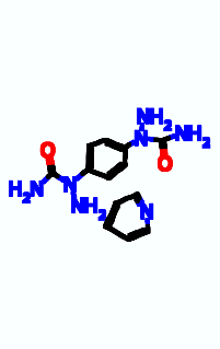 NC(=O)N(N)c1ccc(N(N)C(N)=O)cc1.c1ccncc1